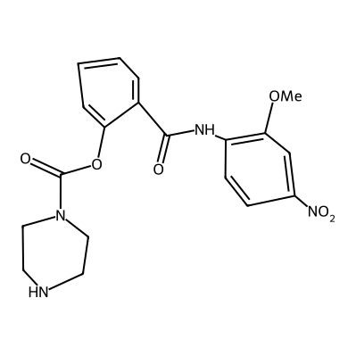 COc1cc([N+](=O)[O-])ccc1NC(=O)c1ccccc1OC(=O)N1CCNCC1